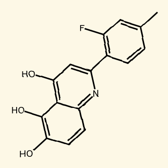 Cc1ccc(-c2cc(O)c3c(O)c(O)ccc3n2)c(F)c1